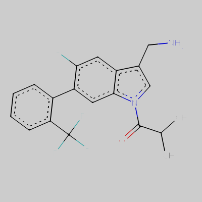 CC(C)C(=O)n1cc(CN)c2cc(F)c(-c3ccccc3C(F)(F)F)cc21